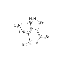 CCN.O=[N+]([O-])Nc1c(Br)cc(Br)cc1Br